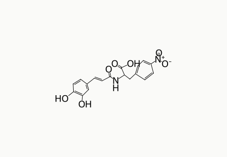 O=C(/C=C/c1ccc(O)c(O)c1)NC(Cc1ccc([N+](=O)[O-])cc1)C(=O)O